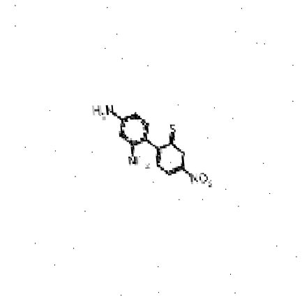 Nc1ccc(C2=CC=C([N+](=O)[O-])CC2=S)c(N)c1